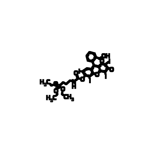 CCO[Si](CCCNC(=O)Oc1c(I)cc2c(-c3ccccc3C(=O)O)c3cc(I)c(=O)c(I)c-3oc2c1I)(OCC)OCC